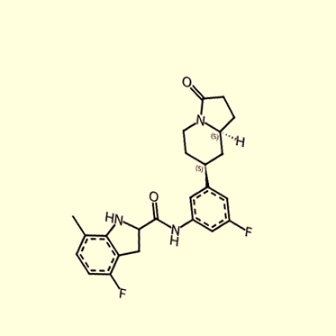 Cc1ccc(F)c2c1NC(C(=O)Nc1cc(F)cc([C@H]3CCN4C(=O)CC[C@H]4C3)c1)C2